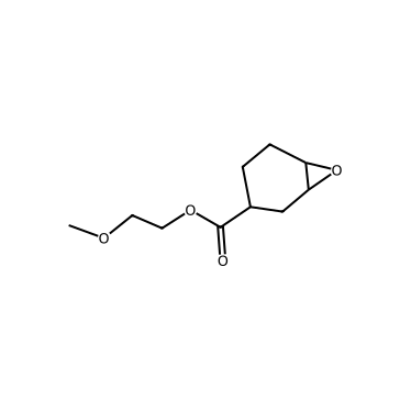 COCCOC(=O)C1CCC2OC2C1